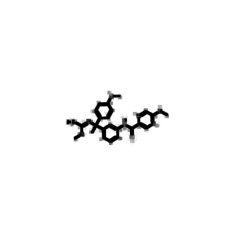 CO/C(N)=N\C(C)(c1ccc(OC)cc1)c1cccc(NC(=O)c2cnc(OC)cn2)c1